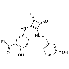 CCC(=O)c1cc(Nc2c(NCc3cccc(O)c3)c(=O)c2=O)ccc1O